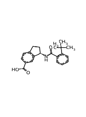 CC(C)(C)c1ccccc1C(=O)N[C@@H]1CCc2ccc(C(=O)O)cc21